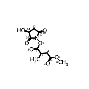 COC(=O)CC(C)C(=O)ON1C(=O)CC(O)C1=O